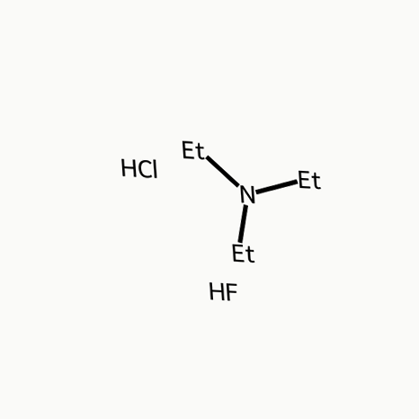 CCN(CC)CC.Cl.F